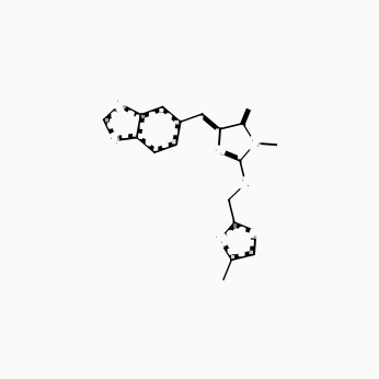 Cc1csc(CNC2=N/C(=C\c3ccc4[nH]cnc4c3)C(=O)N2C)n1